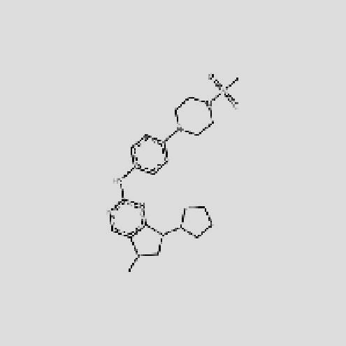 CC1CN(C2CCCC2)c2nc(Nc3ccc(N4CCN(S(C)(=O)=O)CC4)cc3)ncc21